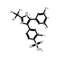 CS(=O)(=O)c1ccc(-c2nc(C(F)(F)F)[nH]c2-c2cc(F)cc(F)c2)cc1F